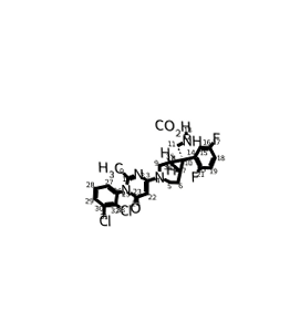 Cc1nc(N2CC[C@@H]3[C@H](C2)[C@@]3(CNC(=O)O)c2cc(F)ccc2F)cc(=O)n1-c1cccc(Cl)c1Cl